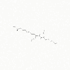 CCCCCCC(OCC)C(O)C(O)C(CCCCCCCC(=O)OC)OCC